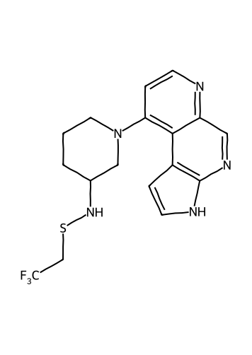 FC(F)(F)CSNC1CCCN(c2ccnc3cnc4[nH]ccc4c23)C1